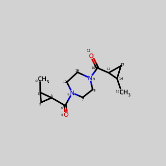 CC1CC1C(=O)N1CCN(C(=O)C2CC2C)CC1